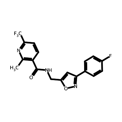 Cc1nc(C(F)(F)F)ccc1C(=O)NCc1cc(-c2ccc(F)cc2)no1